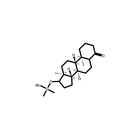 CC(C)(C)[Si](C)(C)OC1CC[C@H]2[C@@H]3CCC4C(=O)CCC[C@]4(C)[C@H]3CC[C@]12C